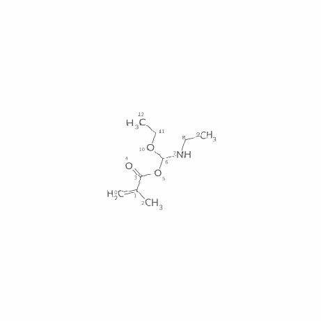 C=C(C)C(=O)OC(NCC)OCC